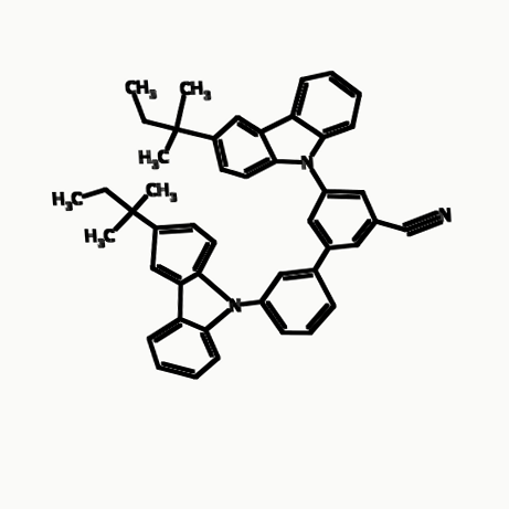 CCC(C)(C)c1ccc2c(c1)c1ccccc1n2-c1cccc(-c2cc(C#N)cc(-n3c4ccccc4c4cc(C(C)(C)CC)ccc43)c2)c1